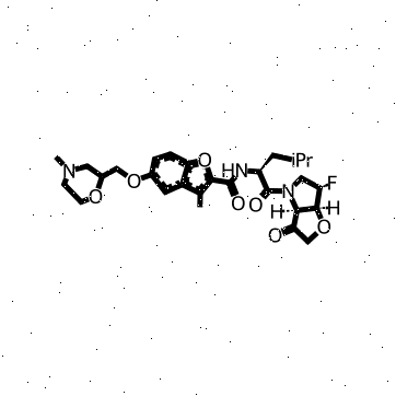 Cc1c(C(=O)N[C@@H](CC(C)C)C(=O)N2C[C@H](F)[C@H]3OCC(=O)[C@H]32)oc2ccc(OCC3CN(C)CCO3)cc12